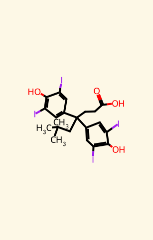 CC(C)(C)CC(CCC(=O)O)(c1cc(I)c(O)c(I)c1)c1cc(I)c(O)c(I)c1